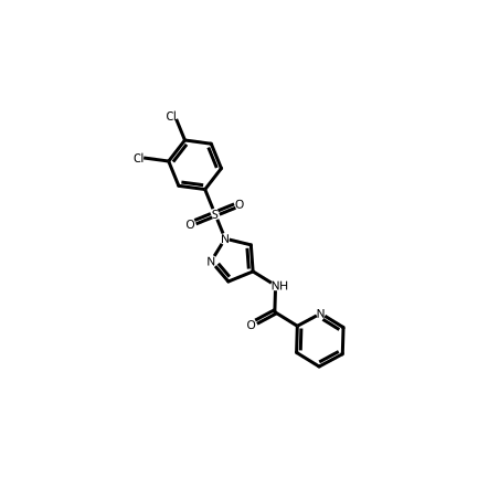 O=C(Nc1cnn(S(=O)(=O)c2ccc(Cl)c(Cl)c2)c1)c1ccccn1